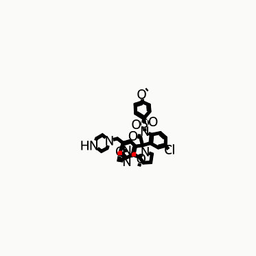 COc1ccc(S(=O)(=O)N2C(=O)C(c3cc(CN4CCNCC4)ccc3OC)(N3CCCC3c3ncon3)c3cc(Cl)ccc32)cc1